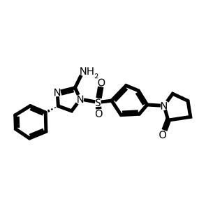 NC1=N[C@@H](c2ccccc2)CN1S(=O)(=O)c1ccc(N2CCCC2=O)cc1